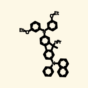 CCCC1(C)c2cc(N(c3cccc(OCC)c3)c3cccc(OCC)c3)ccc2-c2ccc(N(c3ccccc3)c3cccc4ccccc34)cc21